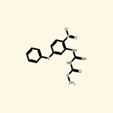 COC(=O)NC(=N)Nc1cc(Sc2ccccc2)ccc1[N+](=O)[O-]